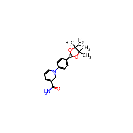 CC1(C)OB(c2ccc(N3C=CC=C(C(N)=O)C3)cc2)OC1(C)C